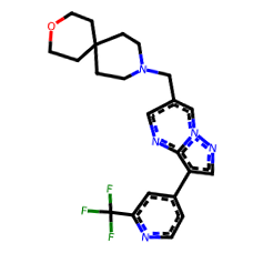 FC(F)(F)c1cc(-c2cnn3cc(CN4CCC5(CCOCC5)CC4)cnc23)ccn1